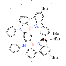 CC(C)(C)c1ccc2c(c1)c1cc(C(C)(C)C)cc3c1n2B1c2cc4c(cc2N(c2ccccc2)c2cccc-3c21)N(c1ccccc1)c1cccc2c1B4n1c3cccc(C(C)(C)C)c3c3cc(C(C)(C)C)cc-2c31